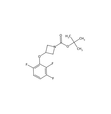 CC(C)(C)OC(=O)N1CC(Oc2c(F)ccc(F)c2F)C1